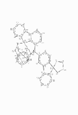 c1ccc(N(c2ccc3c(c2)-c2ccccc2C32CCCC2)c2cccc3c2C2(c4ccccc4-3)C3CC4CC(C3)CC2C4)cc1